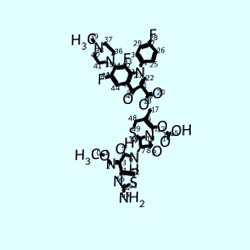 CO/N=C(\C(=O)N[C@@H]1C(=O)N2C(OC(=O)O)=C(COC(=O)c3cn(-c4ccc(F)cc4)c4c(F)c(N5CCN(C)CC5)c(F)cc4c3=O)CS[C@H]12)c1csc(N)n1